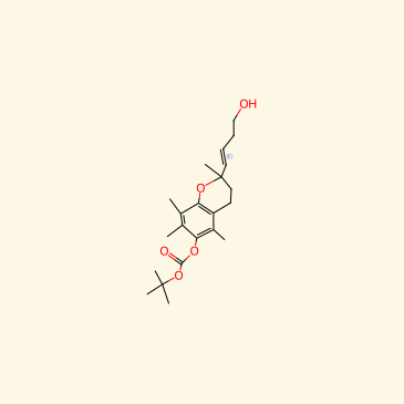 Cc1c(C)c2c(c(C)c1OC(=O)OC(C)(C)C)CCC(C)(/C=C/CCO)O2